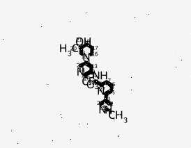 Cn1cc(-c2cccc(C(=O)Nc3cc(N4CCCC(C)(O)C4)cnc3C(F)(F)F)n2)cn1